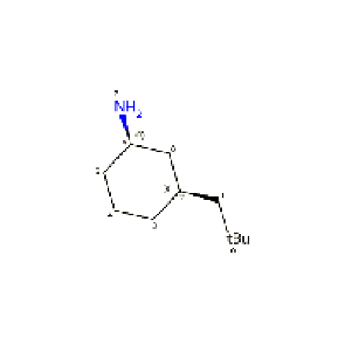 CC(C)(C)C[C@H]1CCC[C@@H](N)C1